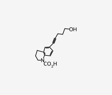 O=C(O)N1CCCc2cc(C#CCCCO)ccc21